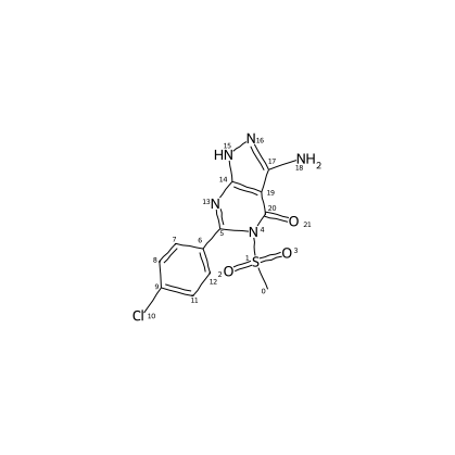 CS(=O)(=O)n1c(-c2ccc(Cl)cc2)nc2[nH]nc(N)c2c1=O